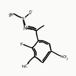 CC(=N[S+]([O-])C(C)(C)C)c1cc([N+](=O)[O-])cc(C#N)c1F